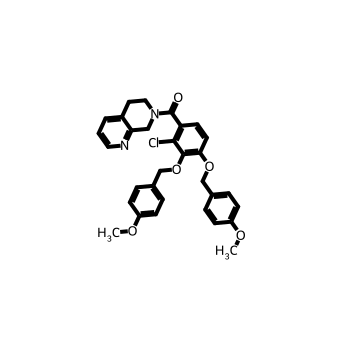 COc1ccc(COc2ccc(C(=O)N3CCc4cccnc4C3)c(Cl)c2OCc2ccc(OC)cc2)cc1